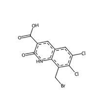 O=C(O)c1cc2cc(Cl)c(Cl)c(CBr)c2[nH]c1=O